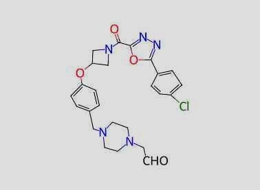 O=CCN1CCN(Cc2ccc(OC3CN(C(=O)c4nnc(-c5ccc(Cl)cc5)o4)C3)cc2)CC1